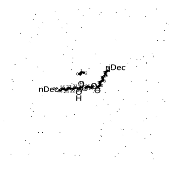 C=CC.CCCCCCCCCCCCCCCCCC(=O)OCCOC(=O)C(O)CCCCCCCCCCCCCCCC